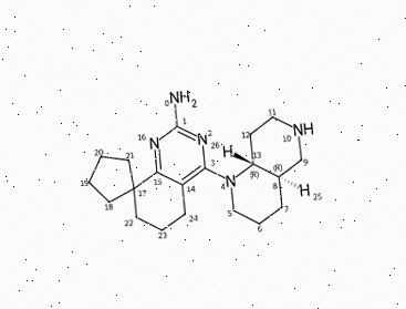 Nc1nc(N2CCC[C@@H]3CNCC[C@H]32)c2c(n1)C1(CCCC1)CCC2